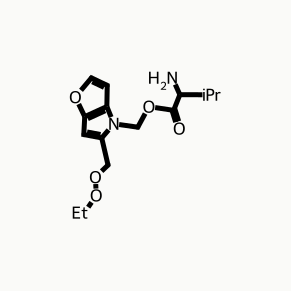 CCOOCc1cc2occc2n1COC(=O)C(N)C(C)C